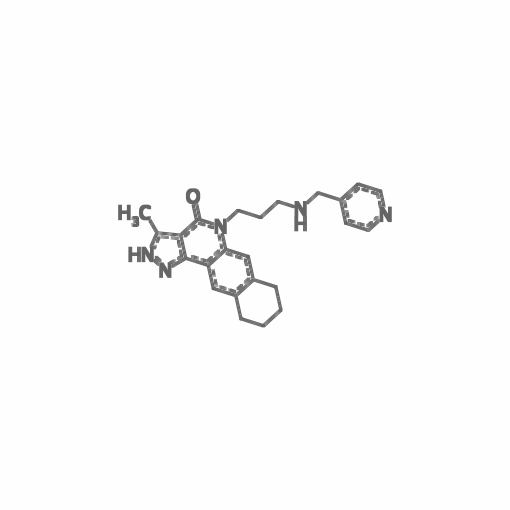 Cc1[nH]nc2c1c(=O)n(CCCNCc1ccncc1)c1cc3c(cc21)CCCC3